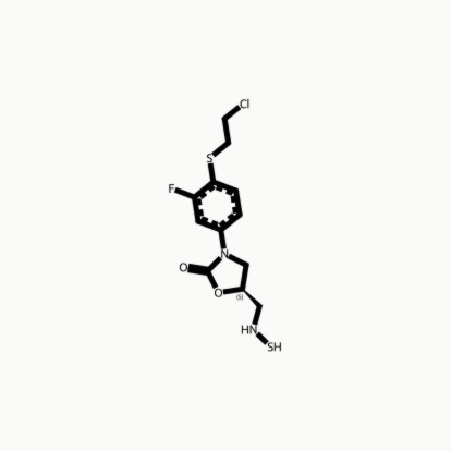 O=C1O[C@H](CNS)CN1c1ccc(SCCCl)c(F)c1